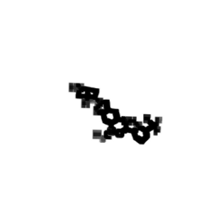 COc1cc2nn([C@H]3CC4NC[C@H]43)cc2cc1NC(=O)c1cccc(C(F)(F)F)n1